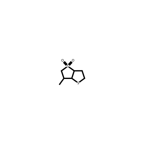 CC1CS(=O)(=O)C2CCSC12